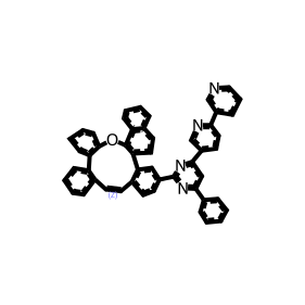 C1=C\c2ccc(-c3nc(-c4ccccc4)cc(-c4ccc(-c5cccnc5)nc4)n3)cc2-c2ccc3ccccc3c2Oc2ccccc2-c2ccccc2/1